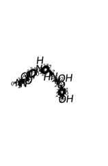 Cn1cnc(S(=O)(=O)N2CCC(Nc3ccc(CCNC[C@@H](O)COc4ccc(O)cc4)cc3)CC2)c1